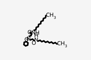 CCCCCCCCCCCCNC(=O)CCN(CCC(=O)NCCCCCCCCCCCC)OC1CCCCC1